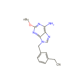 CCCCOc1nc(N)c2ncn(Cc3cccc(CC#N)c3)c2n1